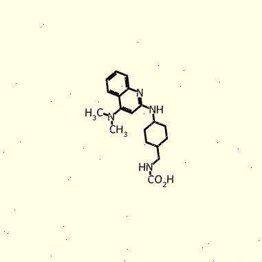 CN(C)c1cc(NC2CCC(CNC(=O)O)CC2)nc2ccccc12